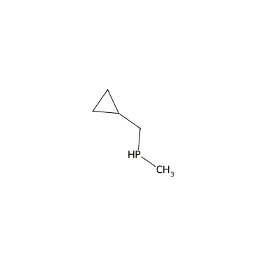 CPCC1CC1